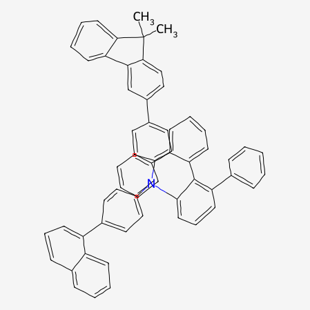 CC1(C)c2ccccc2-c2cc(-c3ccc(N(c4ccc(-c5cccc6ccccc56)cc4)c4cccc(-c5ccccc5)c4-c4ccccc4-c4ccccc4)cc3)ccc21